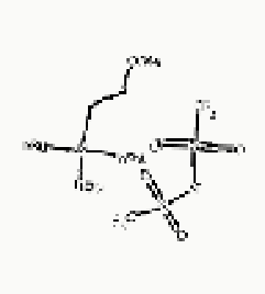 CCCC[P+](CCCC)(CCCC)CCOC.O=S(=O)([N-]S(=O)(=O)C(F)(F)F)C(F)(F)F